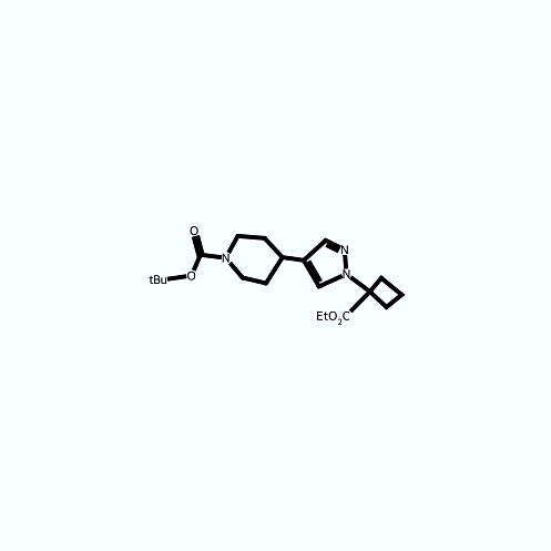 CCOC(=O)C1(n2cc(C3CCN(C(=O)OC(C)(C)C)CC3)cn2)CCC1